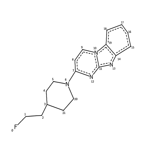 FCCC1CCN(c2ccn3c(n2)nc2ccccc23)CC1